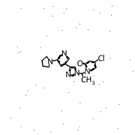 CC(n1cnc(-c2cncc(N3CCCC3)c2)c1)n1ccc(Cl)cc1=O